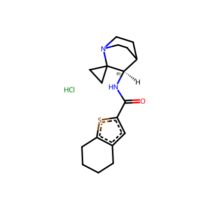 Cl.O=C(N[C@@H]1C2CCN(CC2)C12CC2)c1cc2c(s1)CCCC2